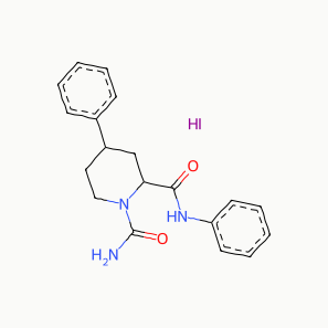 I.NC(=O)N1CCC(c2ccccc2)CC1C(=O)Nc1ccccc1